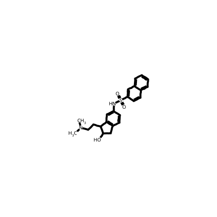 CN(C)CCC1c2cc(NS(=O)(=O)c3ccc4ccccc4c3)ccc2CC1O